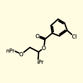 CCCOCC(OC(=O)c1cccc(Cl)c1)C(C)C